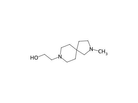 CN1CCC2(CCN(CCO)CC2)C1